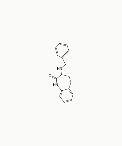 O=C1Nc2ccccc2CCC1NCc1ccccc1